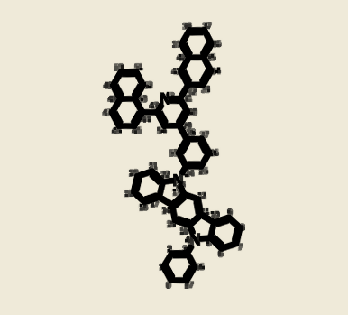 c1ccc(-n2c3ccccc3c3cc4c(cc32)c2ccccc2n4-c2cccc(-c3cc(-c4ccc5ccccc5c4)nc(-c4cccc5ccccc45)c3)c2)cc1